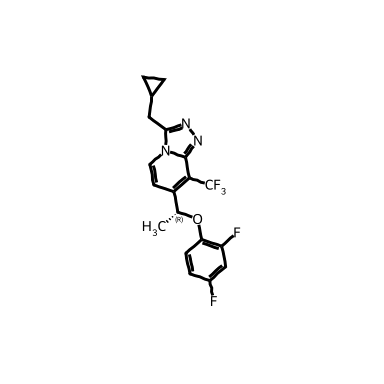 C[C@@H](Oc1ccc(F)cc1F)c1ccn2c(CC3CC3)nnc2c1C(F)(F)F